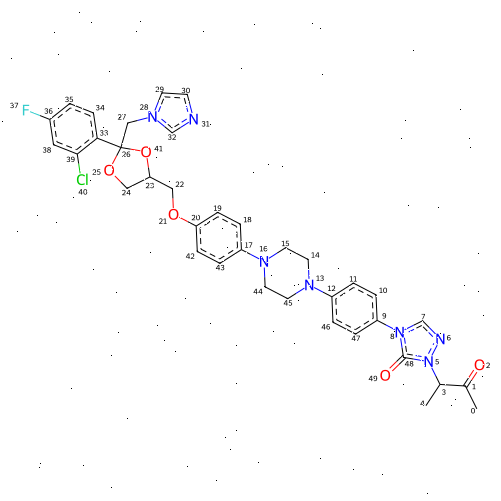 CC(=O)C(C)n1ncn(-c2ccc(N3CCN(c4ccc(OCC5COC(Cn6ccnc6)(c6ccc(F)cc6Cl)O5)cc4)CC3)cc2)c1=O